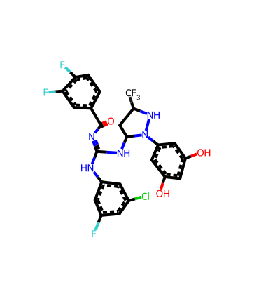 O=C(/N=C(/Nc1cc(F)cc(Cl)c1)NC1CC(C(F)(F)F)NN1c1cc(O)cc(O)c1)c1ccc(F)c(F)c1